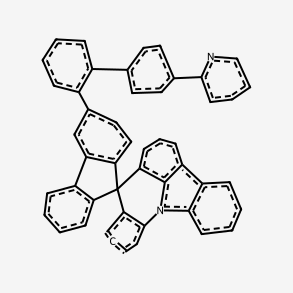 c1ccc(-c2ccc(-c3ccccc3-c3ccc4c(c3)-c3ccccc3C43c4ccccc4-n4c5ccccc5c5cccc3c54)cc2)nc1